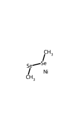 C[Se][Se]C.[Ni]